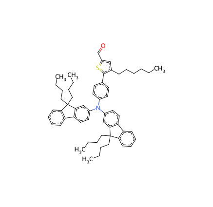 CCCCCCc1cc(C=O)sc1-c1ccc(N(c2ccc3c(c2)C(CCCC)(CCCC)c2ccccc2-3)c2ccc3c(c2)C(CCCC)(CCCC)c2ccccc2-3)cc1